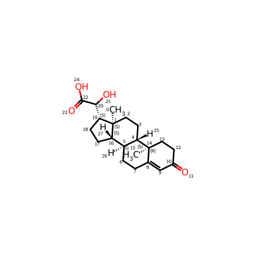 C[C@]12CC[C@H]3[C@@H](CCC4=CC(=O)CC[C@@]43C)[C@@H]1CC[C@@H]2C(O)C(=O)O